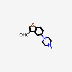 CN1CCN(c2ccc3scc(C=O)c3c2)CC1